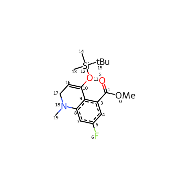 COC(=O)c1cc(F)cc2c1C(O[Si](C)(C)C(C)(C)C)=CCN2C